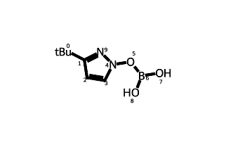 CC(C)(C)c1ccn(OB(O)O)n1